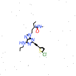 CCCNc1nc(C#Cc2ccc(Cl)s2)nc2c1ncn2CCC(CC)C(=O)NC